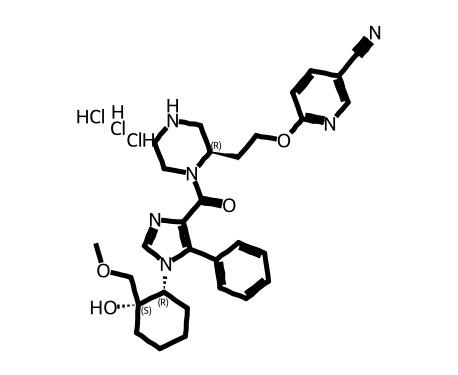 COC[C@]1(O)CCCC[C@H]1n1cnc(C(=O)N2CCNC[C@H]2CCOc2ccc(C#N)cn2)c1-c1ccccc1.Cl.Cl.Cl